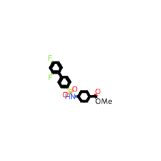 COC(=O)C1CCC(NS(=O)(=O)c2ccc(-c3ccc(F)cc3F)cc2)CC1